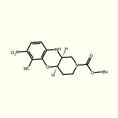 CC(C)(C)OC(=O)N1CC[C@H]2Oc3c(ccc([N+](=O)[O-])c3C#N)N[C@H]2C1